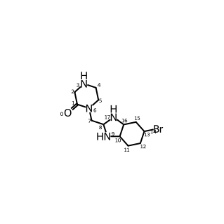 O=C1CNCCN1CC1NC2CCC(Br)CC2N1